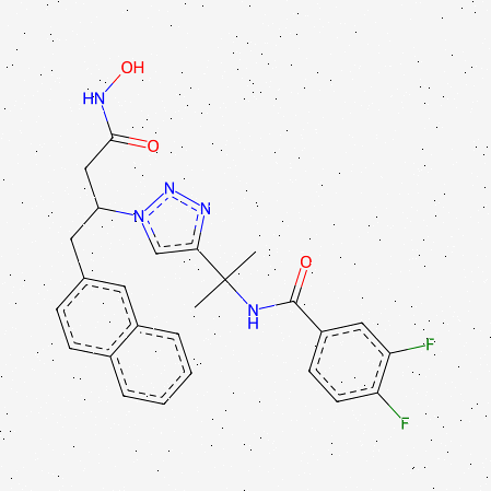 CC(C)(NC(=O)c1ccc(F)c(F)c1)c1cn(C(CC(=O)NO)Cc2ccc3ccccc3c2)nn1